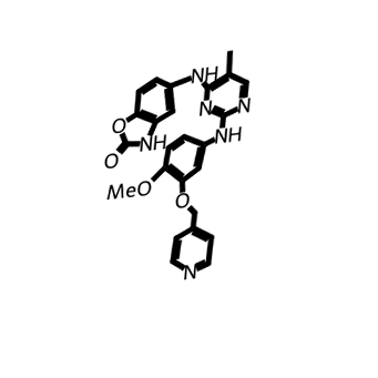 COc1ccc(Nc2ncc(C)c(Nc3ccc4oc(=O)[nH]c4c3)n2)cc1OCc1ccncc1